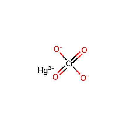 [Hg+2].[O]=[Cr](=[O])([O-])[O-]